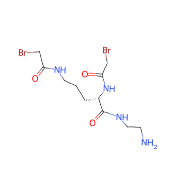 NCCNC(=O)[C@H](CCCNC(=O)CBr)NC(=O)CBr